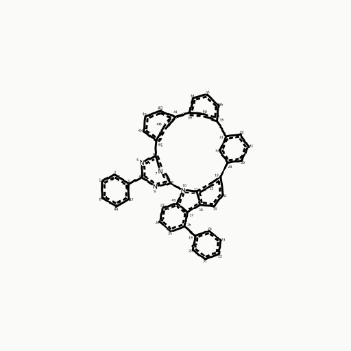 c1ccc(-c2nc3nc(n2)-n2c4cc(ccc4c4c(-c5ccccc5)cccc42)-c2cccc(c2)-c2cccc(c2)-c2cccc-3c2)cc1